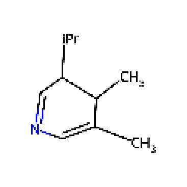 CC1=CN=CC(C(C)C)C1C